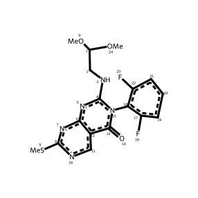 COC(CNc1nc2nc(SC)ncc2c(=O)n1-c1c(F)cccc1F)OC